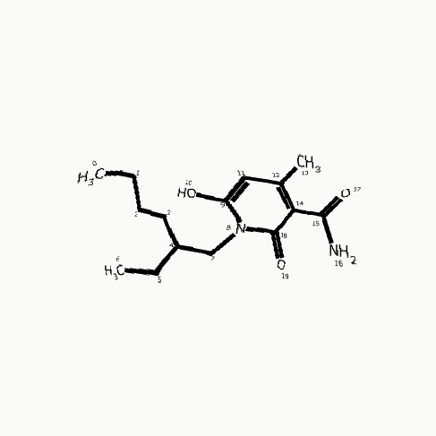 CCCCC(CC)Cn1c(O)cc(C)c(C(N)=O)c1=O